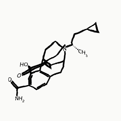 C[C@@H](CC1CC1)N1CCC23CC(=O)CCC2C1Cc1ccc(C(N)=O)c(O)c13